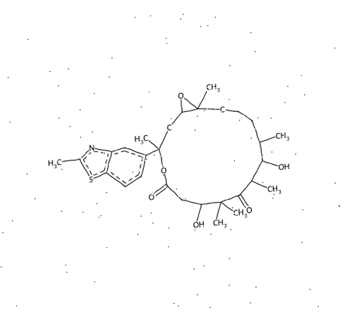 Cc1nc2cc(C3(C)CC4OC4(C)CCCC(C)C(O)C(C)C(=O)C(C)(C)C(O)CC(=O)O3)ccc2s1